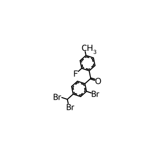 Cc1ccc(C(=O)c2ccc(C(Br)Br)cc2Br)c(F)c1